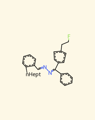 CCCCCCCc1ccccc1C=NN=C(c1ccccc1)c1ccc(CCF)cc1